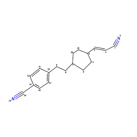 N#CC=CC1CCC(CCc2ccc(C#N)cc2)CC1